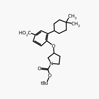 CC1(C)CCC(c2cc(C(=O)O)ccc2OC2CCN(C(=O)OC(C)(C)C)C2)CC1